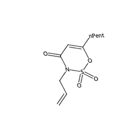 C=CCN1C(=O)C=C(CCCCC)OS1(=O)=O